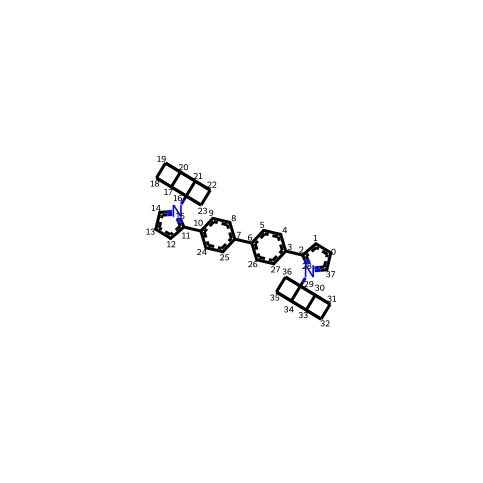 c1cc(-c2ccc(-c3ccc(-c4cccn4C45C6C7C8C6C4C8C75)cc3)cc2)n(C23C4C5C6C4C2C6C53)c1